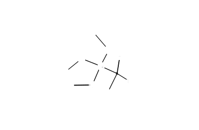 CO[Si](OC)(OC)C(F)(F)F